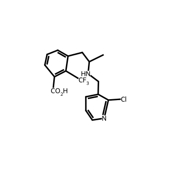 CC(Cc1cccc(C(=O)O)c1C(F)(F)F)NCc1cccnc1Cl